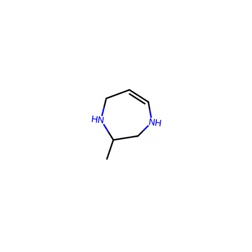 CC1CNC=CCN1